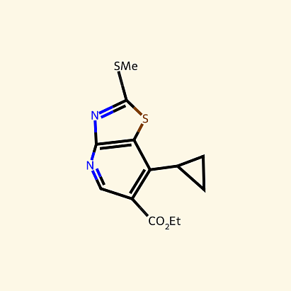 CCOC(=O)c1cnc2nc(SC)sc2c1C1CC1